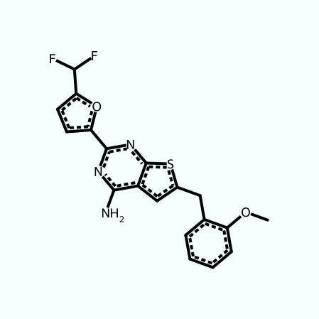 COc1ccccc1Cc1cc2c(N)nc(-c3ccc(C(F)F)o3)nc2s1